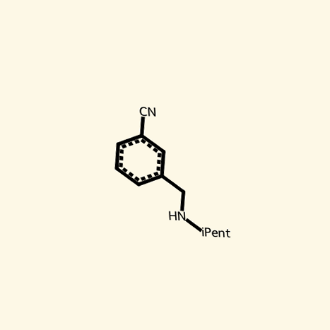 CCCC(C)NCc1cccc(C#N)c1